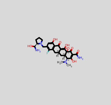 CN(C)[C@@H]1C(O)=C(C(N)=O)C(=O)[C@@]2(O)C(O)=C3C(=O)c4c(O)cc(CN5CCC[C@@H]5C(N)O)c(F)c4C[C@H]3C[C@@H]12